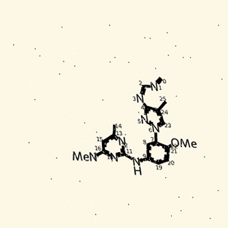 C=N/C=N\c1nn(-c2cc(Nc3nc(C)cc(NC)n3)ccc2OC)cc1C